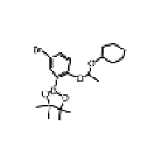 CC(Oc1ccc(Br)cc1B1OC(C)(C)C(C)(C)O1)OC1CCCCC1